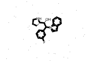 O[C@H](C(c1cccc(F)c1)n1ccc2ccccc21)[C@@H]1CCCN1